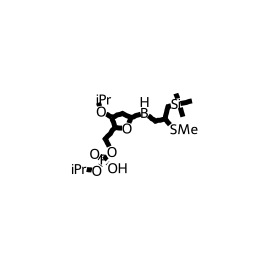 CSC(CBC1CC(OC(C)C)C(COP(=O)(O)OC(C)C)O1)C[Si](C)(C)C